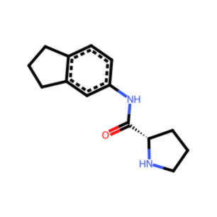 O=C(Nc1ccc2c(c1)CCC2)[C@@H]1CCCN1